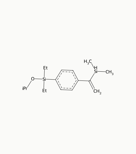 C=C(c1ccc([Si](CC)(CC)OC(C)C)cc1)[SiH](C)C